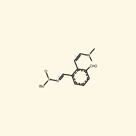 CN(C)/C=C\c1c(C=O)cccc1/C=N/[S+]([O-])C(C)(C)C